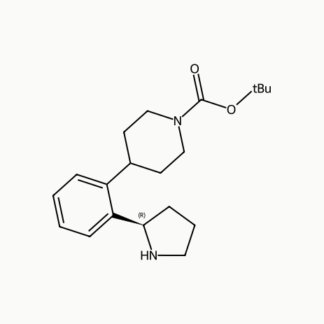 CC(C)(C)OC(=O)N1CCC(c2ccccc2[C@H]2CCCN2)CC1